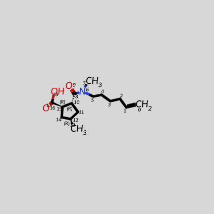 C=CCCCCN(C)C(=O)[C@@H]1C[C@@H](C)C[C@H]1C(=O)O